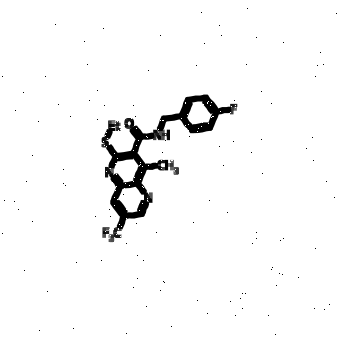 CCSc1nc2cc(C(F)(F)F)cnc2c(C)c1C(=O)NCc1ccc(F)cc1